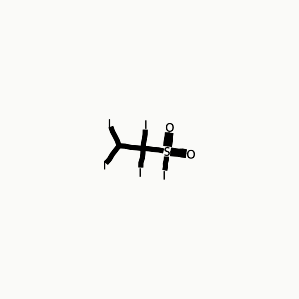 O=S(=O)(I)C(I)(I)C(I)I